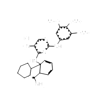 COc1cc(Nc2ncc([N+](=O)[O-])c(NC3(C4CCCCC4)C=CC=CC3C(N)=O)n2)cc(OC)c1OC.Cl